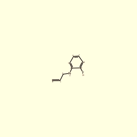 C=CC[N]c1ccccc1F